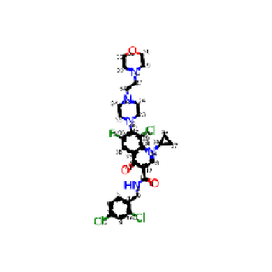 O=C(NCc1ccc(Cl)cc1Cl)c1cn(C2CC2)c2c(Cl)c(N3CCN(CCN4CCOCC4)CC3)c(F)cc2c1=O